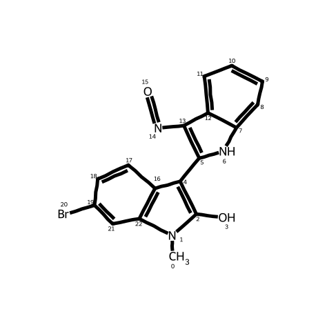 Cn1c(O)c(-c2[nH]c3ccccc3c2N=O)c2ccc(Br)cc21